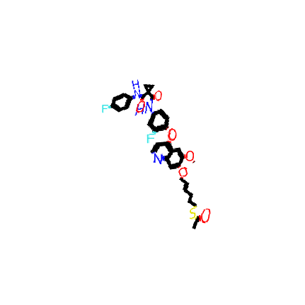 COc1cc2c(Oc3ccc(NC(=O)C4(C(=O)Nc5ccc(F)cc5)CC4)cc3F)ccnc2cc1OC/C=C/CCCSC(C)=O